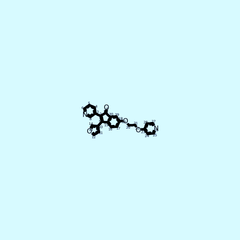 O=C1C(c2cccnc2)=C(c2ccoc2)c2ccc(OCCOc3ccncc3)cc21